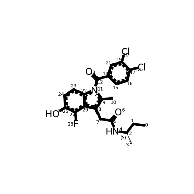 CC[C@H](C)NC(=O)Cc1c(C)n(C(=O)c2ccc(Cl)c(Cl)c2)c2ccc(O)c(F)c12